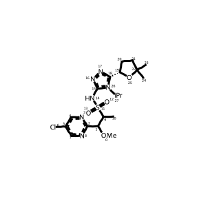 COC(c1ncc(Cl)cn1)C(C)S(=O)(=O)Nc1nnc([C@@H]2CCC(C)(C)O2)n1C(C)C